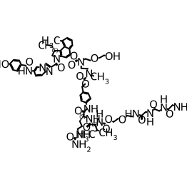 Cc1cccc2c(OC(=O)N(CCOCCO)CCN(C)C(=O)OCc3ccc(NC(=O)[C@H](CCCNC(N)=O)NC(=O)[C@@H](NC(=O)OCCOCCNC(=O)CNC(=O)CNC(=O)CN)C(C)C)cc3)cc3c(c12)[C@H](CCl)CN3C(=O)c1cn2cc(NC(=O)c3ccc(O)cc3)ccc2n1